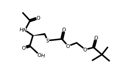 CC(=O)N[C@@H](CSC(=O)OCOC(=O)C(C)(C)C)C(=O)O